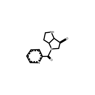 O=C1CN(C(=O)c2ccccn2)C2CCNC12